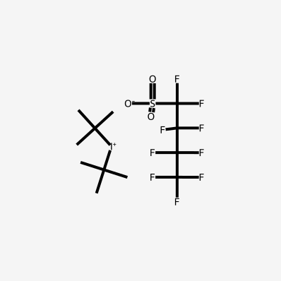 CC(C)(C)[I+]C(C)(C)C.O=S(=O)([O-])C(F)(F)C(F)(F)C(F)(F)C(F)(F)F